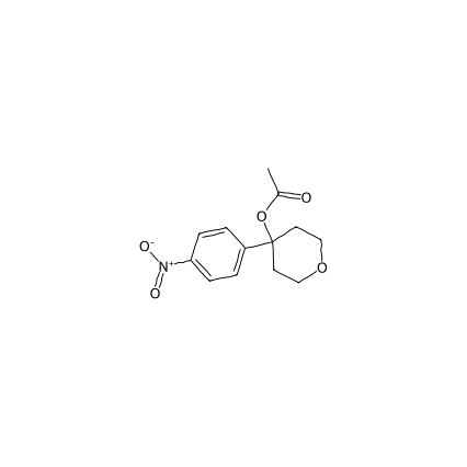 CC(=O)OC1(c2ccc([N+](=O)[O-])cc2)CCOCC1